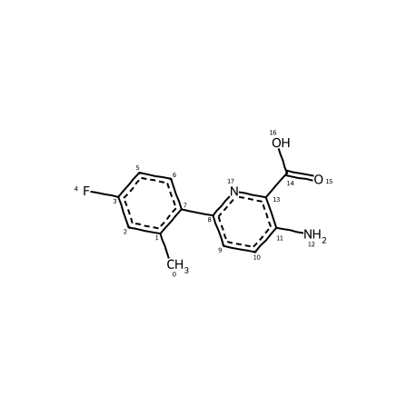 Cc1cc(F)ccc1-c1ccc(N)c(C(=O)O)n1